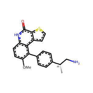 COc1ccc2[nH]c(=O)c3sccc3c2c1-c1ccc([C@@H](C)CN)cc1